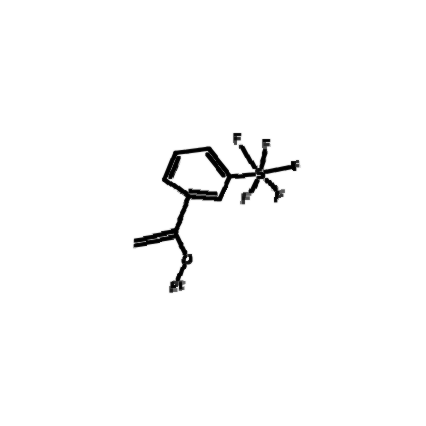 C=C(OCC)c1cccc(S(F)(F)(F)(F)F)c1